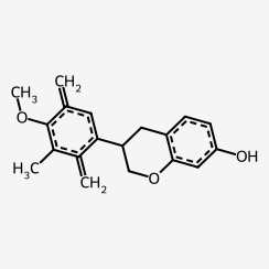 C=c1cc(C2COc3cc(O)ccc3C2)c(=C)c(C)c1OC